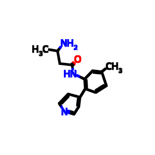 Cc1ccc(-c2ccncc2)c(NC(=O)CC(C)N)c1